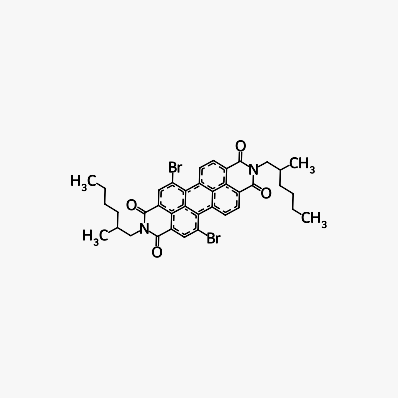 CCCCC(C)CN1C(=O)c2ccc3c4c(Br)cc5c6c(cc(Br)c(c7ccc(c2c37)C1=O)c64)C(=O)N(CC(C)CCCC)C5=O